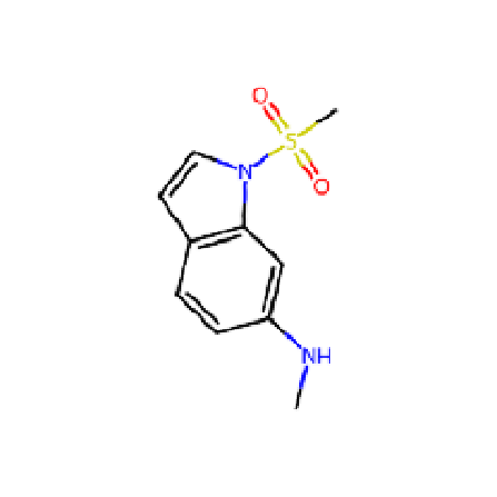 CNc1ccc2ccn(S(C)(=O)=O)c2c1